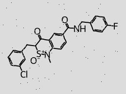 CN1c2ccc(C(=O)NCc3ccc(F)cc3)cc2C(=O)C(Cc2cccc(Cl)c2)[S+]1[O-]